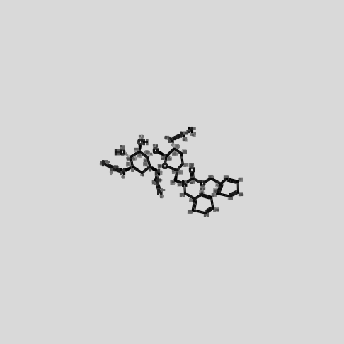 [N-]=[N+]=N[C@H]1C[C@@H](N=[N+]=[N-])[C@H](O)[C@@H](O)[C@@H]1O[C@@H]1O[C@H](CN(Cc2ccccc2)C(=O)OCc2ccccc2)CC[C@H]1N=[N+]=[N-]